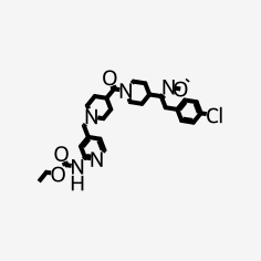 CCOC(=O)Nc1cc(CN2CCC(C(=O)N3CCC(C(Cc4ccc(Cl)cc4)=NOC)CC3)CC2)ccn1